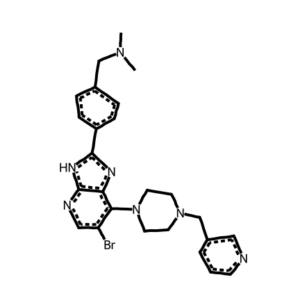 CN(C)Cc1ccc(-c2nc3c(N4CCN(Cc5cccnc5)CC4)c(Br)cnc3[nH]2)cc1